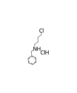 Cl.ClCCCCNCc1ccccc1